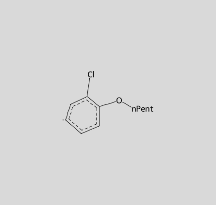 CCCCCOc1cc[c]cc1Cl